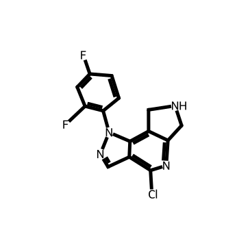 Fc1ccc(-n2ncc3c(Cl)nc4c(c32)CNC4)c(F)c1